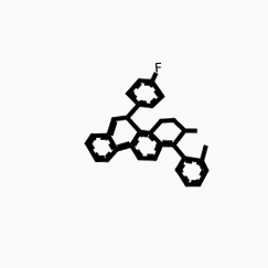 Cc1ccccc1C1=c2ccc3c(c2CCC1C)C(c1ccc(F)cc1)C=c1ccccc1=3